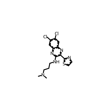 CN(C)CCCNc1nc2cc(Cl)c(Cl)cc2nc1-c1nccs1